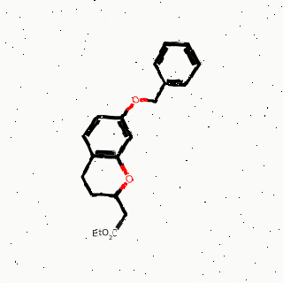 CCOC(=O)CC1CCc2ccc(OCc3ccccc3)cc2O1